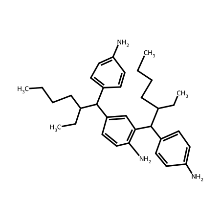 CCCCC(CC)C(c1ccc(N)cc1)c1ccc(N)c(C(c2ccc(N)cc2)C(CC)CCCC)c1